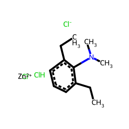 CCc1cccc(CC)c1N(C)C.Cl.[Cl-].[Cl-].[Zn+2]